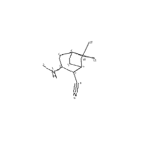 CNC1CC2CC(C1C#N)C2(C)C